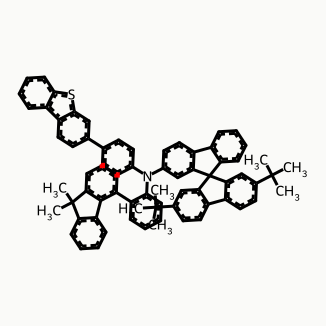 CC(C)(C)c1ccc2c(c1)C1(c3ccccc3-c3ccc(N(c4ccc(-c5ccc6c(c5)sc5ccccc56)cc4)c4ccccc4-c4cccc5c4-c4ccccc4C5(C)C)cc31)c1cc(C(C)(C)C)ccc1-2